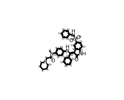 CN(C(=O)CN1CCCCC1)c1ccc(NC(=C2C(=O)Nc3ccc(S(=O)(=O)Nc4ccccc4)cc32)c2ccccc2)cc1